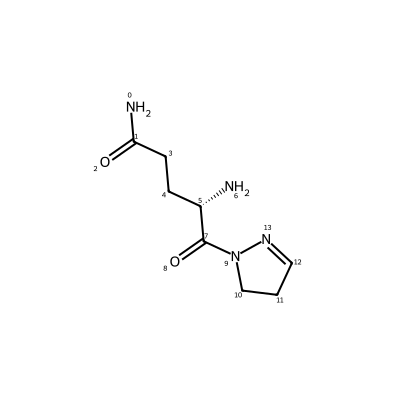 NC(=O)CC[C@H](N)C(=O)N1CCC=N1